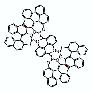 c1cc(Op2oc3ccc4ccccc4c3c3c(ccc4ccccc43)o2)c(-c2c(Op3oc4ccc5ccccc5c4c4c(ccc5ccccc54)o3)cccc2Op2oc3ccc4ccccc4c3c3c(ccc4ccccc43)o2)c(Op2oc3ccc4ccccc4c3c3c(ccc4ccccc43)o2)c1